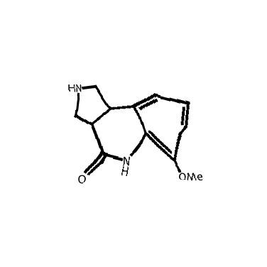 COc1cccc2c1NC(=O)C1CNCC21